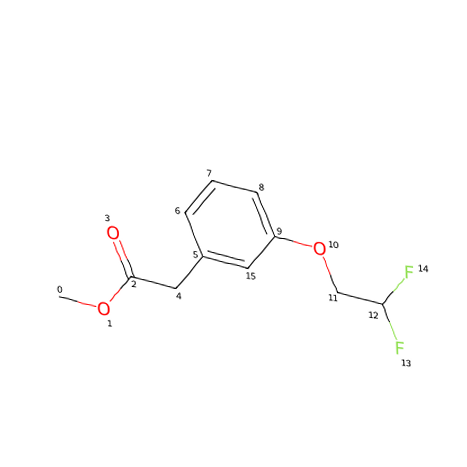 COC(=O)Cc1cccc(OCC(F)F)c1